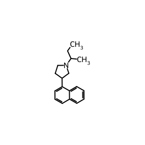 CCC(C)N1CCC(c2cccc3ccccc23)C1